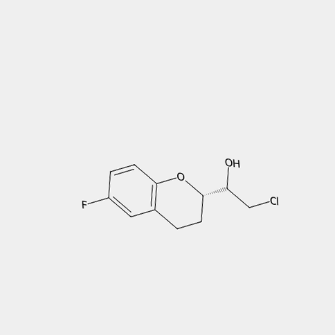 OC(CCl)[C@@H]1CCc2cc(F)ccc2O1